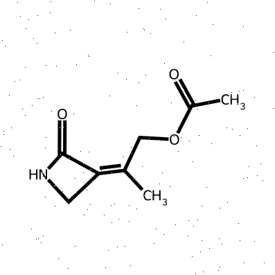 CC(=O)OC/C(C)=C1/CNC1=O